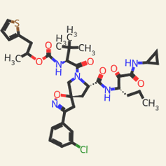 CCC[C@H](NC(=O)[C@@H]1C[C@]2(CC(c3cccc(Cl)c3)=NO2)CN1C(=O)[C@@H](NC(=O)OC(C)Cc1cccs1)C(C)(C)C)C(=O)C(=O)NC1CC1